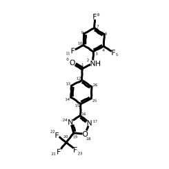 O=C(Nc1c(F)cc(F)cc1F)c1ccc(-c2noc(C(F)(F)F)n2)cc1